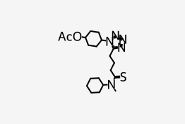 CC(=O)OC1CCC(n2nnnc2CCCC(=S)N(C)C2CCCCC2)CC1